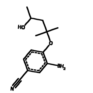 Bc1cc(C#N)ccc1OC(C)(C)CC(C)O